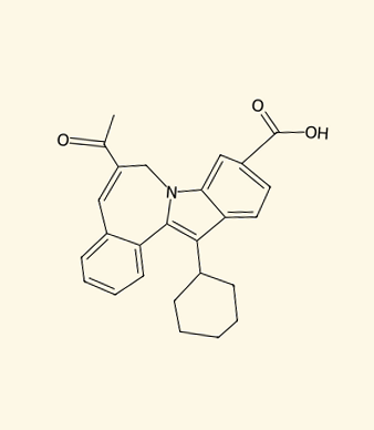 CC(=O)C1=Cc2ccccc2-c2c(C3CCCCC3)c3ccc(C(=O)O)cc3n2C1